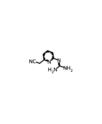 N#CCc1cccc(N=C(N)N)n1